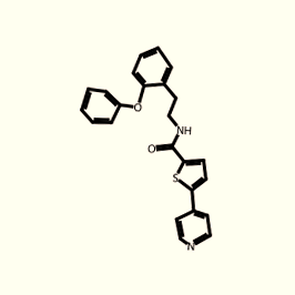 O=C(NCCc1ccccc1Oc1ccccc1)c1ccc(-c2ccncc2)s1